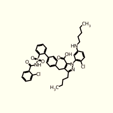 CCCCCNc1ccc(Cl)c(-n2nc(CCCC)c(Cc3ccc(-c4ccccc4S(=O)(=O)NC(=O)c4ccccc4Cl)cc3)c2C(=O)O)c1